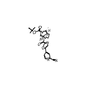 C[C@@H]1[C@H]2CCN(C(=O)c3ncc(-c4ccnc(C#N)c4)o3)[C@H]2CN1C(=O)OC(C)(C)C